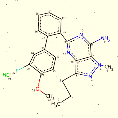 CCCc1nn(C)c2c(N)nc(-c3ccccc3-c3ccc(OC)c(F)c3)nc12.Cl